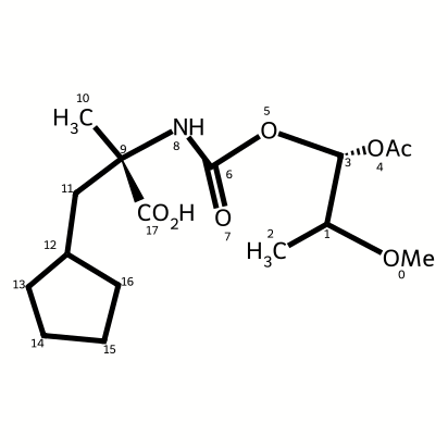 COC(C)[C@@H](OC(C)=O)OC(=O)N[C@@](C)(CC1CCCC1)C(=O)O